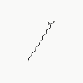 CCCCCCCCCCCCC[SiH](F)F